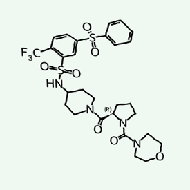 O=C([C@H]1CCCN1C(=O)N1CCOCC1)N1CCC(NS(=O)(=O)c2cc(S(=O)(=O)c3ccccc3)ccc2C(F)(F)F)CC1